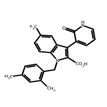 Cc1ccc(Cn2c(C(=O)O)c(-c3ccc[nH]c3=O)c3cc(C(F)(F)F)ccc32)c(C)c1